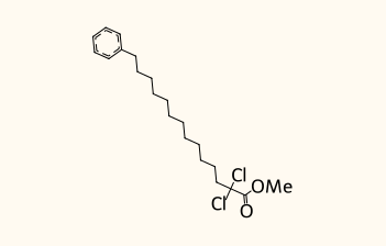 COC(=O)C(Cl)(Cl)CCCCCCCCCCCCc1ccccc1